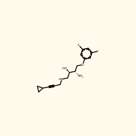 N[C@@H](COc1cc(F)cc(F)c1)[C@H](O)CNCC#CC1CC1